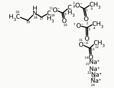 CC(=O)[O-].CC(=O)[O-].CC(=O)[O-].CC(=O)[O-].CCNCC.[Na+].[Na+].[Na+].[Na+]